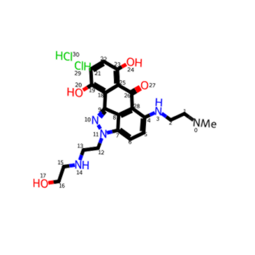 CNCCNc1ccc2c3c(nn2CCNCCO)-c2c(O)ccc(O)c2C(=O)c13.Cl.Cl